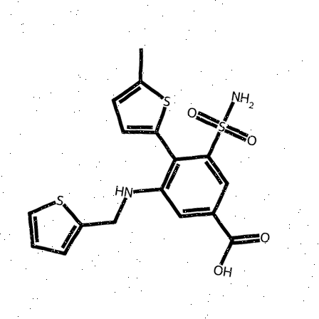 Cc1ccc(-c2c(NCc3cccs3)cc(C(=O)O)cc2S(N)(=O)=O)s1